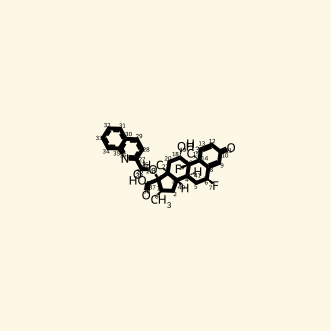 C[C@@H]1C[C@H]2[C@@H]3C[C@H](F)C4=CC(=O)C=C[C@]4(C)[C@@]3(F)[C@@H](O)C[C@]2(C)[C@@]1(OC(=O)c1ccc2ccccc2n1)C(=O)O